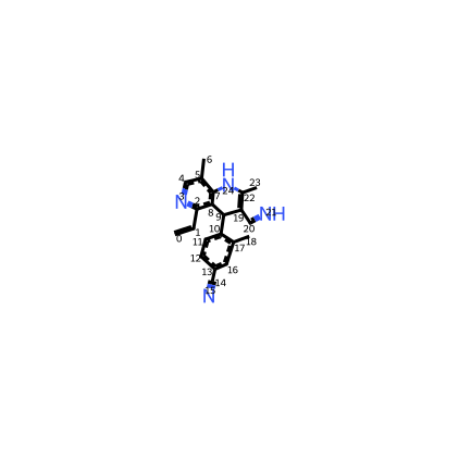 C=Cc1ncc(C)c2c1C(c1ccc(C#N)cc1C)C(C=N)=C(C)N2